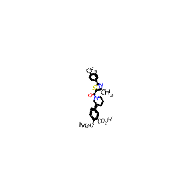 COc1ccc(C2CCCN(C(=O)c3sc(-c4ccc(C(F)(F)F)cc4)nc3C)C2)cc1C(=O)O